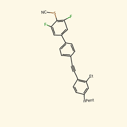 CCCCCc1ccc(C#Cc2ccc(-c3cc(F)c(SC#N)c(F)c3)cc2)c(CC)c1